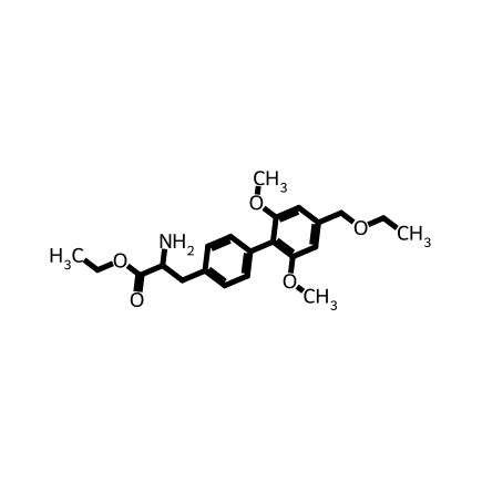 CCOCc1cc(OC)c(-c2ccc(CC(N)C(=O)OCC)cc2)c(OC)c1